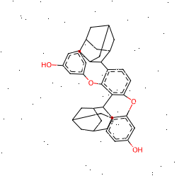 Oc1cccc(Oc2ccc(C3C4CC5CC(C4)CC3C5)c(Oc3cccc(O)c3)c2C2C3CC4CC(C3)CC2C4)c1